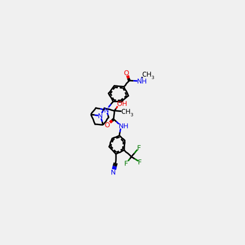 CNC(=O)c1ccc(N2CC3CC(C2)N3CC(C)(O)C(=O)Nc2ccc(C#N)c(C(F)(F)F)c2)cc1